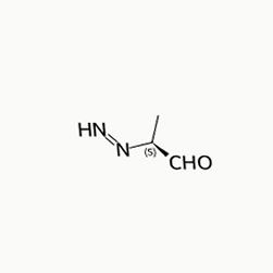 C[C@@H](C=O)N=N